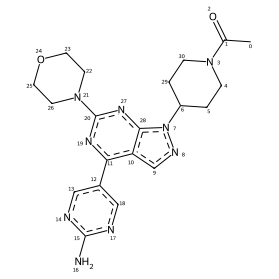 CC(=O)N1CCC(n2ncc3c(-c4cnc(N)nc4)nc(N4CCOCC4)nc32)CC1